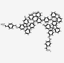 C=Cc1ccc(COc2ccc(C3(c4ccc(F)cc4)c4ccccc4-c4ccc(N(c5ccc(-c6ccc(N(c7ccc8c(c7)C(c7ccc(F)cc7)(c7ccc(OCc9ccc(C=C)cc9)cc7)c7ccccc7-8)c7cccc8oc9ccccc9c78)cc6)cc5)c5cccc6oc7ccccc7c56)cc43)cc2)cc1